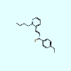 CCCCc1ccccc1C=CC(=S)c1ccc(CC)cc1